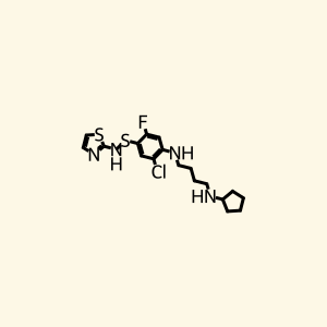 Fc1cc(NCCCCNC2CCCC2)c(Cl)cc1SNc1nccs1